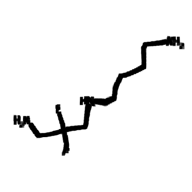 NCCCCNCC(F)(F)CN